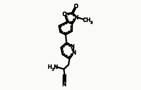 Cn1c(=O)oc2ccc(-c3ccc(CC(N)C#N)nn3)cc21